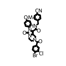 COc1ccc(-n2c(C(=O)NCc3ccc(C#N)cc3)c3n(c2=O)CCN(C(=O)c2ccc(Br)c(Cl)c2)C3)cc1